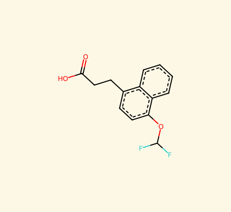 O=C(O)CCc1ccc(OC(F)F)c2ccccc12